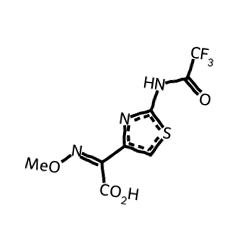 CO/N=C(\C(=O)O)c1csc(NC(=O)C(F)(F)F)n1